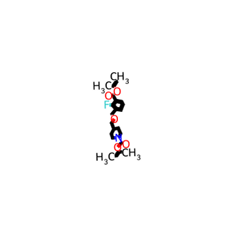 C/C=C(/C)OC(=O)N1CCC(COCc2cccc(C(=O)O/C(C)=C/C)c2F)CC1